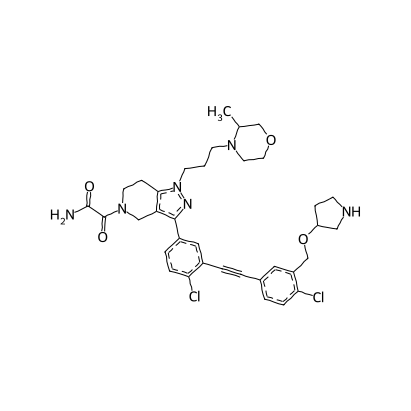 CC1COCCN1CCCn1nc(-c2ccc(Cl)c(C#Cc3ccc(Cl)c(COC4CCNC4)c3)c2)c2c1CCN(C(=O)C(N)=O)C2